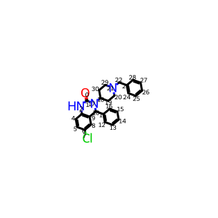 O=C1Nc2ccc(Cl)cc2C(c2ccccc2)N1C1CCN(Cc2ccccc2)CC1